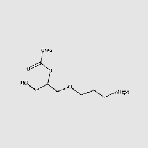 CCCCCCCCCCOCC(CO)OC(=O)OC